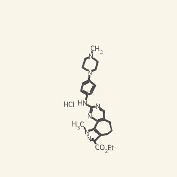 CCOC(=O)c1nn(C)c2c1CCCc1cnc(Nc3ccc(N4CCN(C)CC4)cc3)nc1-2.Cl